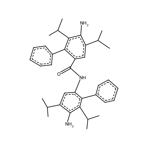 CC(C)c1cc(NC(=O)c2cc(C(C)C)c(N)c(C(C)C)c2-c2ccccc2)c(-c2ccccc2)c(C(C)C)c1N